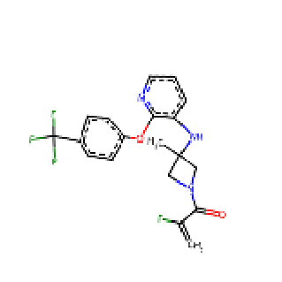 C=C(F)C(=O)N1CC(C)(Nc2cccnc2Oc2ccc(C(F)(F)F)cc2)C1